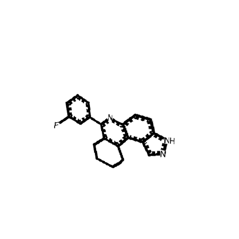 Fc1cccc(-c2nc3ccc4[nH]ncc4c3c3c2CCCC3)c1